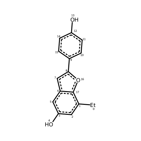 CCc1cc(O)cc2cc(-c3ccc(O)cc3)oc12